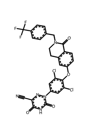 N#Cc1nn(-c2cc(Cl)c(Oc3ccc4c(c3)CCN(Cc3ccc(C(F)(F)F)cc3)C4=O)c(Cl)c2)c(=O)[nH]c1=O